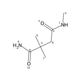 CNC(=O)[CH]C(C)(C)C(N)=O